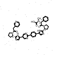 CN(C(=O)O)[C@@H](C(=O)N1CCC[C@H]1c1ncc(-c2ccc(-c3ncc(-c4cnc([C@@H]5CCCN5C(=O)Cc5cccnc5)[nH]4)cn3)cc2)[nH]1)c1ccccc1